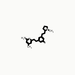 Cc1cc(N)nc(CCc2cc(F)cc(CCC3CCCN3C)c2)c1